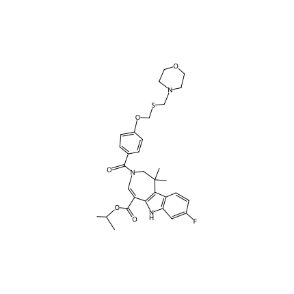 CC(C)OC(=O)C1=CN(C(=O)c2ccc(OCSCN3CCOCC3)cc2)CC(C)(C)c2c1[nH]c1cc(F)ccc21